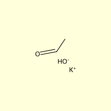 CC=O.[K+].[OH-]